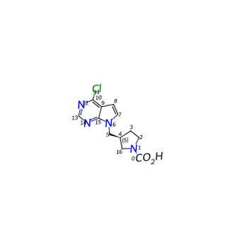 O=C(O)N1CC[C@H](Cn2ccc3c(Cl)ncnc32)C1